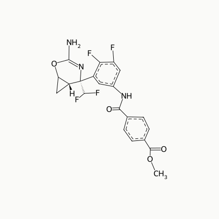 COC(=O)c1ccc(C(=O)Nc2cc(F)c(F)c([C@]3(C(F)F)N=C(N)OC4C[C@H]43)c2)cc1